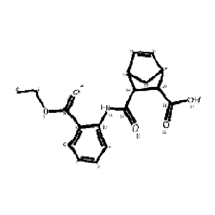 CCOC(=O)c1ccccc1NC(=O)C1C2C=CC(C2)C1C(=O)O